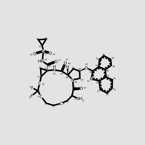 NC1CCCCCC(F)(F)CC2C[C@@]2(C(=O)NS(=O)(=O)C2CC2)NC(=O)[C@@H]2C[C@@H](Oc3nc4ccccc4c4ccccc34)CN2C1=O